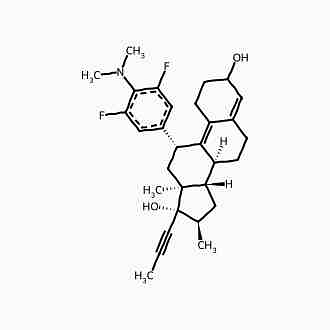 CC#C[C@]1(O)[C@H](C)C[C@H]2[C@@H]3CCC4=CC(O)CCC4=C3[C@@H](c3cc(F)c(N(C)C)c(F)c3)C[C@@]21C